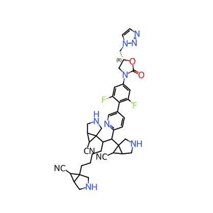 N#CC1C2CNCC12CCCCC(C(c1ccc(-c2c(F)cc(N3C[C@H](Cn4ccnn4)OC3=O)cc2F)cn1)C12CNCC1C2C#N)C12CNCC1C2C#N